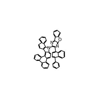 c1ccc(-c2ccc(-c3nc4oc5ccccc5c4nc3-n3c4ccc5c6ccccc6c6ccccc6c5c4c4ccc5ccccc5c43)c3ccccc23)cc1